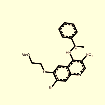 COCCOc1cc2c(N[C@H](C)c3ccccc3)c([N+](=O)[O-])cnc2cc1Br